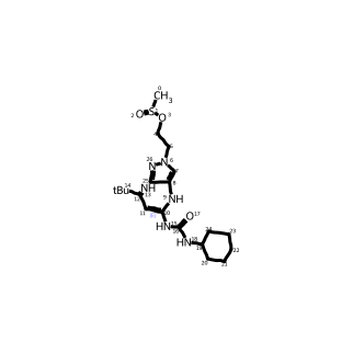 CS(=O)OCCn1cc(N/C(=C\C(=N)C(C)(C)C)NC(=O)NC2CCCCC2)cn1